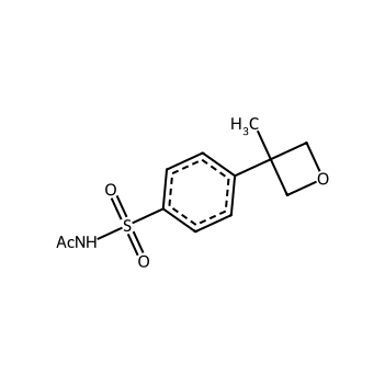 CC(=O)NS(=O)(=O)c1ccc(C2(C)COC2)cc1